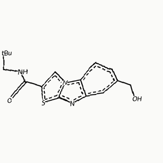 CC(C)(C)CNC(=O)c1cn2c(nc3cc(CO)ccc32)s1